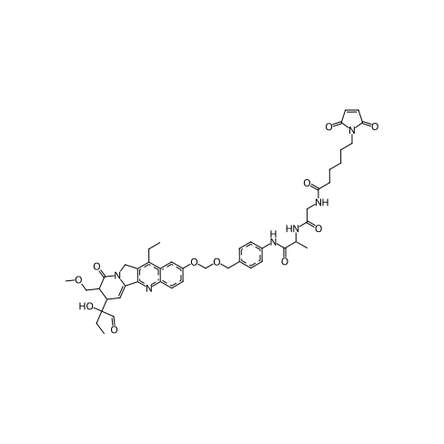 CCc1c2c(nc3ccc(OCOCc4ccc(NC(=O)C(C)NC(=O)CNC(=O)CCCCCN5C(=O)C=CC5=O)cc4)cc13)C1=CC(C(O)(C=O)CC)C(COC)C(=O)N1C2